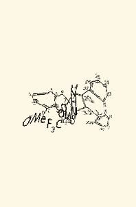 COc1cccc(CC2(OC(=O)C(F)(F)F)NC(c3ccccc3)C(c3ccccc3)N2)c1OC